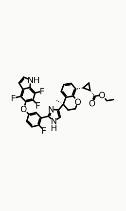 CCOC(=O)[C@H]1C[C@H]1c1cccc2c1OCC[C@@]2(C)c1c[nH]c(-c2cc(Oc3c(F)c(F)c4[nH]ccc4c3F)ccc2F)n1